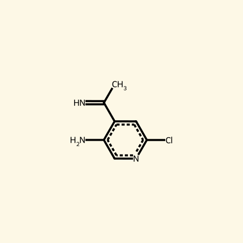 CC(=N)c1cc(Cl)ncc1N